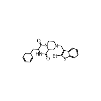 CCc1sc2ccccc2c1CN1CCN2C(=O)C(Cc3ccccc3)NC(=O)C2C1